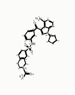 Nc1ncnc2c1c(C(=O)c1cccc(NS(=O)(=O)c3ccc4c(c3)CN(C(=O)C(F)(F)F)CC4)c1)cn2C1CCCC1